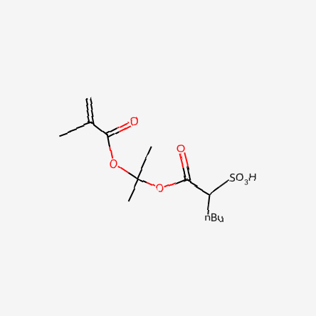 C=C(C)C(=O)OC(C)(C)OC(=O)C(CCCC)S(=O)(=O)O